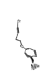 CCC#CCCOc1cccc(NC)c1